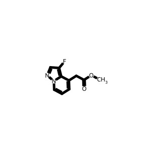 COC(=O)Cc1cccn2ncc(F)c12